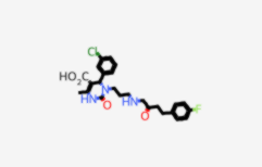 CC1=C(C(=O)O)C(c2cccc(Cl)c2)N(CCCNCC(=O)CCc2ccc(F)cc2)C(=O)N1